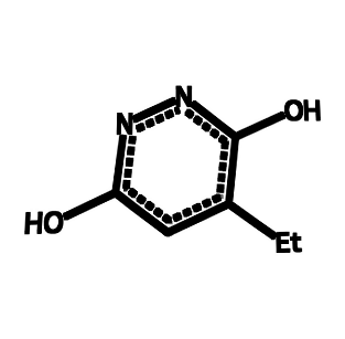 CCc1cc(O)nnc1O